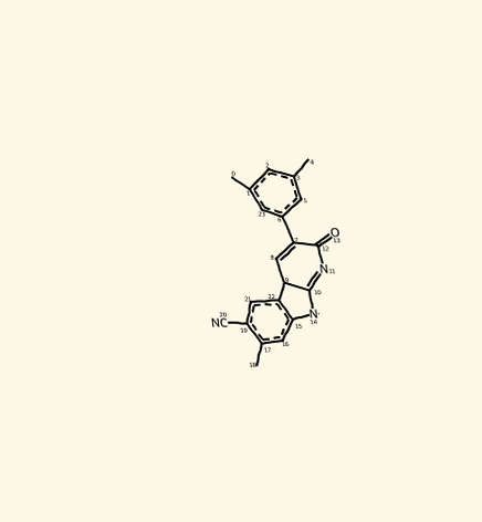 Cc1cc(C)cc(C2=CC3C(=NC2=O)[N]c2cc(C)c(C#N)cc23)c1